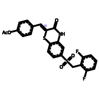 CC(=O)Oc1ccc(/C=C2\Sc3ccc(S(=O)(=O)Cc4c(F)cccc4F)cc3NC2=O)cc1